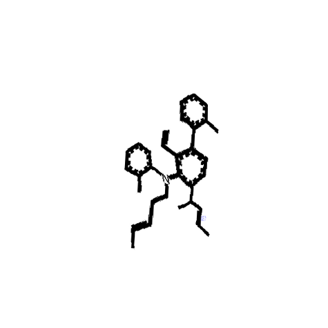 C=Cc1c(-c2ccccc2C)ccc(C(C)/C=C/C)c1N(CCC=CC)c1ccccc1C